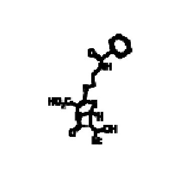 CC[C@H](O)[C@@H]1C(=O)N2C(C(=O)O)=C(SCCNC(=O)c3ccccc3)S[C@H]12